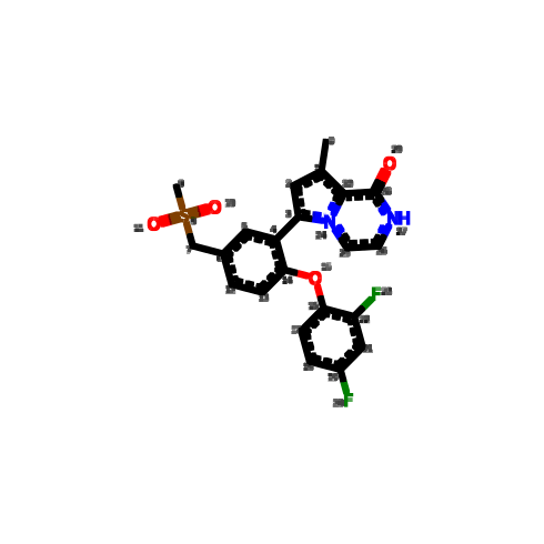 Cc1cc(-c2cc(CS(C)(=O)=O)ccc2Oc2ccc(F)cc2F)n2cc[nH]c(=O)c12